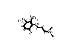 CN(C)CCCOc1c(F)ccc(N)c1[N+](=O)[O-]